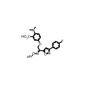 CCCO/N=C(\COc1ccc(N(C)C)c(C(=O)O)c1)c1cc(-c2ccc(F)cc2)no1